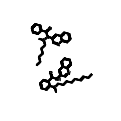 CCC=CCCCCCN(C)c1ccccc1C(=O)Nc1cnc2ccccc2c1.CCCCCCN(C)N(C(=O)c1ccccc1)c1cnc2ccccc2c1